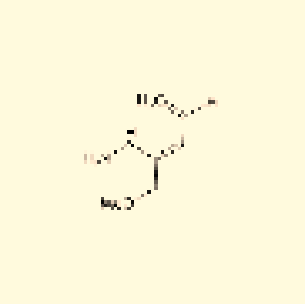 C=C(/C=C(/COC)NN)CC